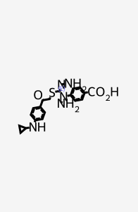 N/N=C(/SCC(=O)c1ccc(NC2CC2)cc1)N(N)c1ccc(C(=O)O)cc1